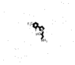 NCCC(O)CN1CCC(c2ccc(C(F)(F)F)cc2F)C1